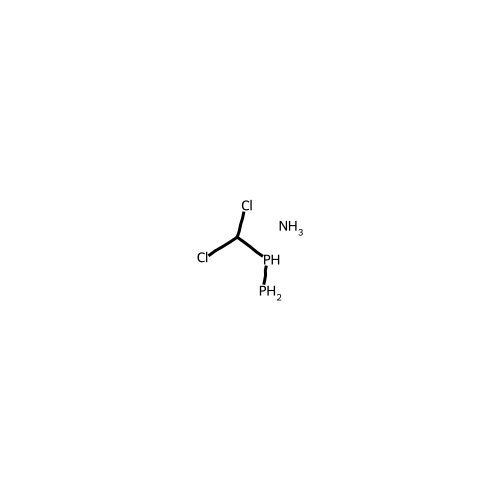 N.PPC(Cl)Cl